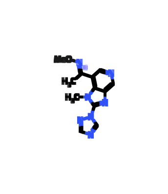 CO/N=C(\C)c1cncc2nc(-n3cncn3)n(C)c12